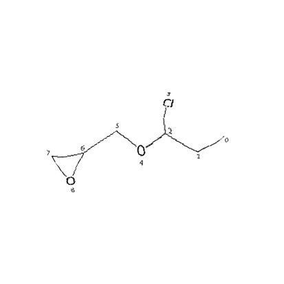 CCC(Cl)OCC1CO1